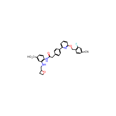 N#Cc1ccc(COc2cccc(-c3ccc(CC(=O)Nc4ccc(C(=O)O)cc4NCC4CCO4)cc3)n2)c(F)c1